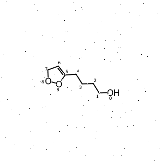 OCCCCC1=CCOO1